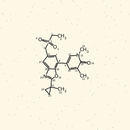 CCS(=O)(=O)Cc1cc(-c2cc(C)c(=O)n(C)c2)c2oc(C3(C)CC3)nc2c1